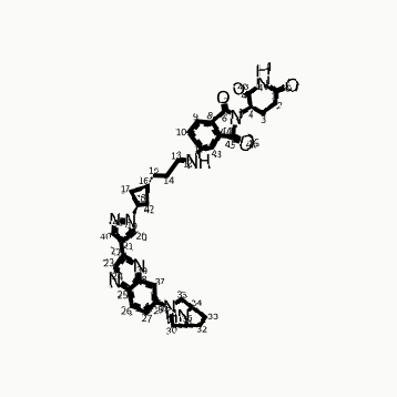 O=C1CCC(N2C(=O)c3ccc(NCCC[C@H]4C[C@H](n5cc(-c6cnc7ccc(N8CC9CCC(C8)N9)cc7n6)cn5)C4)cc3C2=O)C(=O)N1